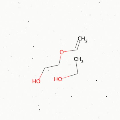 C=COCCO.CCO